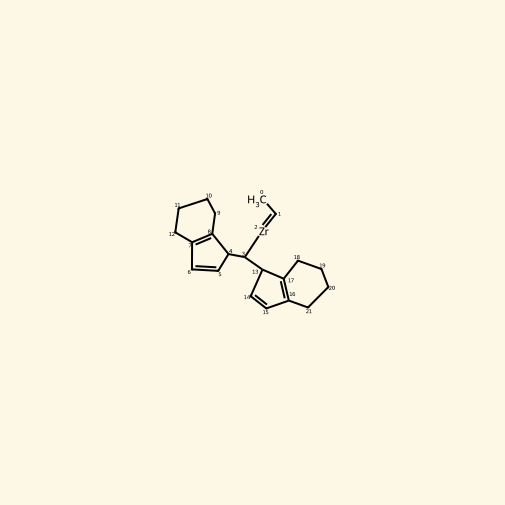 C[CH]=[Zr][CH](C1C=CC2=C1CCCC2)C1C=CC2=C1CCCC2